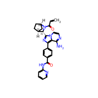 C=CC(=O)N1[C@@H]2CC[C@@H](C2)[C@H]1c1nc(-c2ccc(C(=O)Nc3ccccn3)cc2)c2c(N)nccn12